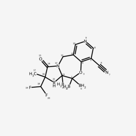 BC1(B)Oc2c(C#N)cncc2CN2C(=O)C(C)(C(F)F)BC21B